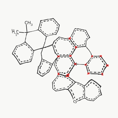 CC1(C)c2ccccc2C2(c3ccccc3-c3c(N(c4ccccc4-c4ccccc4-c4ccccc4-c4ccccc4)c4cccc5oc6ccccc6c45)cccc32)c2ccccc21